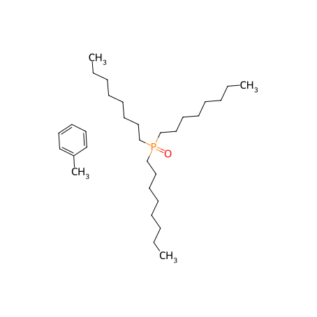 CCCCCCCCP(=O)(CCCCCCCC)CCCCCCCC.Cc1ccccc1